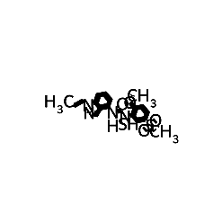 CCCn1ncc2c(NC(=O)N(S)c3cc(S(C)(=O)=O)ccc3OC)cccc21